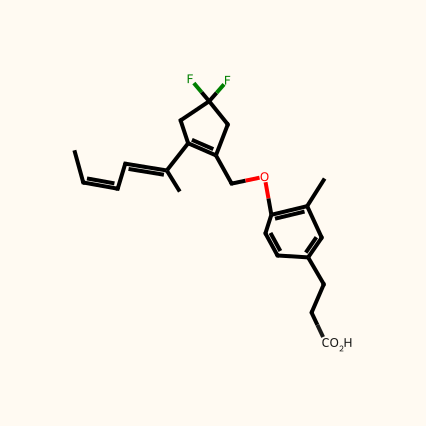 C/C=C\C=C(/C)C1=C(COc2ccc(CCC(=O)O)cc2C)CC(F)(F)C1